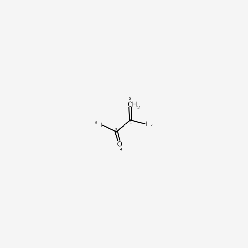 C=C(I)C(=O)I